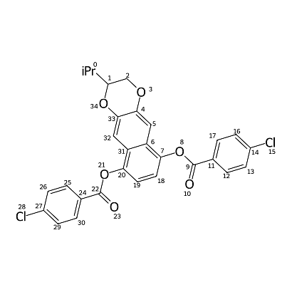 CC(C)C1COc2cc3c(OC(=O)c4ccc(Cl)cc4)ccc(OC(=O)c4ccc(Cl)cc4)c3cc2O1